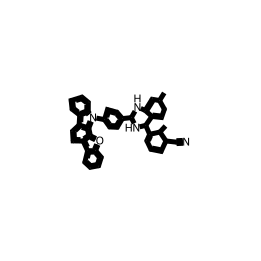 CC1C=C2NC(c3ccc(-n4c5ccccc5c5ccc6c7ccccc7oc6c54)cc3)NC(C3=CC=CC(C#N)C3C)C2=CC1